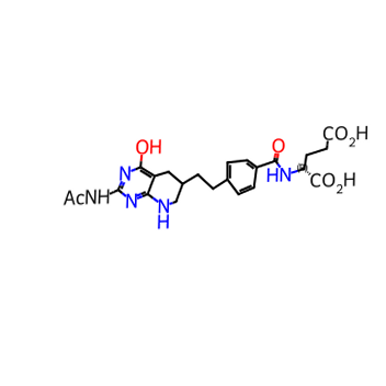 CC(=O)Nc1nc(O)c2c(n1)NCC(CCc1ccc(C(=O)N[C@H](CCC(=O)O)C(=O)O)cc1)C2